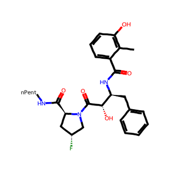 CCCCCNC(=O)[C@@H]1C[C@@H](F)CN1C(=O)[C@@H](O)[C@H](Cc1ccccc1)NC(=O)c1cccc(O)c1C